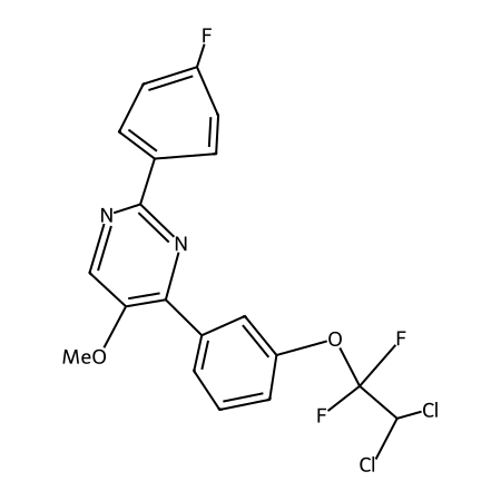 COc1cnc(-c2ccc(F)cc2)nc1-c1cccc(OC(F)(F)C(Cl)Cl)c1